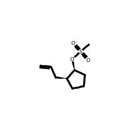 C=CC[C@@H]1CCC[C@@H]1OS(C)(=O)=O